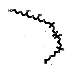 C=CCOCCOC(C)(CC)CCOC(C)(CC)C(C)(C)COC(C)(C)CCOCC(O)COCC(O)COCCO